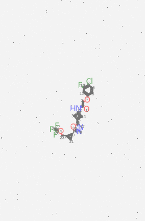 O=C(COc1ccc(Cl)c(F)c1)NC12CC(c3nnc([C@@H]4C[C@H]4COC(F)(F)F)o3)(C1)C2